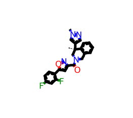 Cn1cc([C@]2(C)CN(C(=O)c3cc(-c4ccc(F)cc4F)on3)Cc3ccccc32)cn1